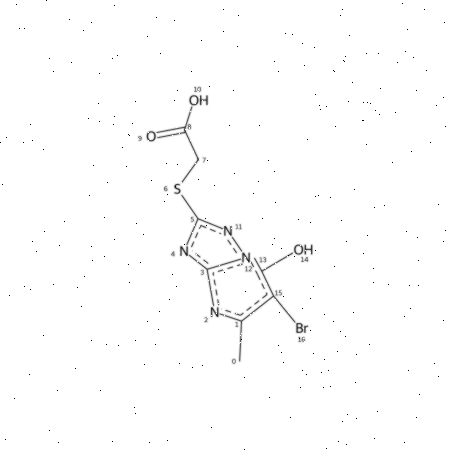 Cc1nc2nc(SCC(=O)O)nn2c(O)c1Br